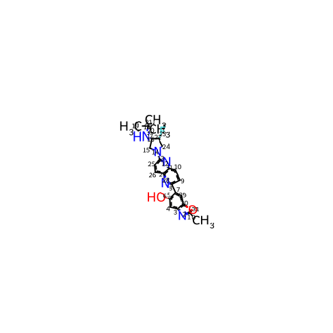 Cc1nc2cc(O)c(-c3ccc4nc(N5C[C@H](NC(C)(C)C)[C@@H](F)C5)ccc4n3)cc2o1